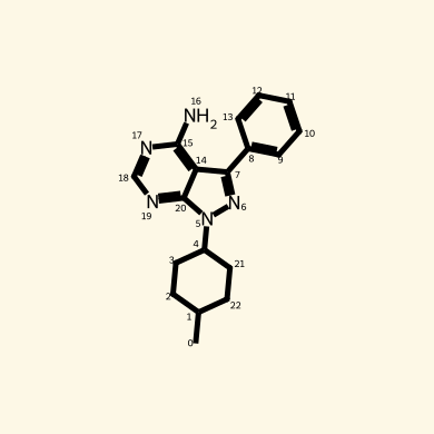 CC1CCC(n2nc(-c3ccccc3)c3c(N)ncnc32)CC1